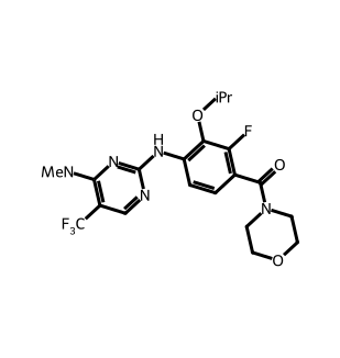 CNc1nc(Nc2ccc(C(=O)N3CCOCC3)c(F)c2OC(C)C)ncc1C(F)(F)F